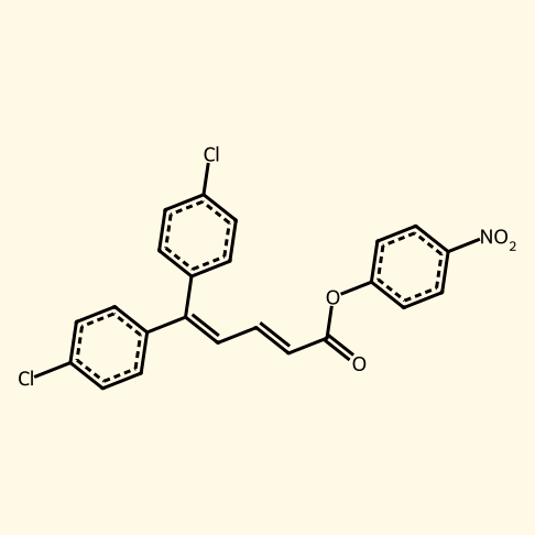 O=C(C=CC=C(c1ccc(Cl)cc1)c1ccc(Cl)cc1)Oc1ccc([N+](=O)[O-])cc1